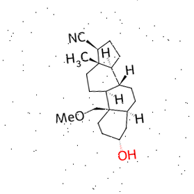 COC[C@]12CC[C@@H](O)C[C@@H]1CC[C@H]1[C@@H]3CC[C@H](C#N)[C@@]3(C)CC[C@@H]12